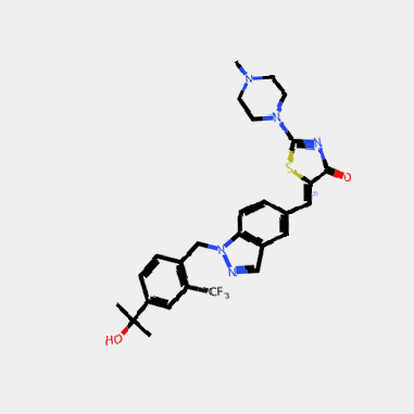 CN1CCN(C2=NC(=O)/C(=C/c3ccc4c(cnn4Cc4ccc(C(C)(C)O)cc4C(F)(F)F)c3)S2)CC1